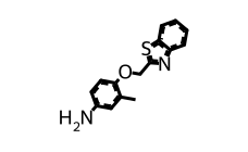 Cc1cc(N)ccc1OCc1nc2ccccc2s1